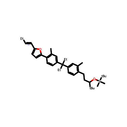 CC/C=C/c1ccc(-c2ccc(C(CC)(CC)c3ccc(CCC(O[Si](C)(C)C(C)(C)C)C(C)(C)C)c(C)c3)cc2C)o1